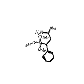 CCCCC(N)CC(c1ccccc1)[Si](OC)(OC)OC